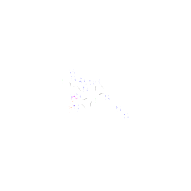 CN1CCN(C2CCN(c3ccc(Nc4nc(Nc5cccc6c5N(S(C)(=O)=O)CC6)c5cc(F)[nH]c5n4)cc3F)CC2)CC1